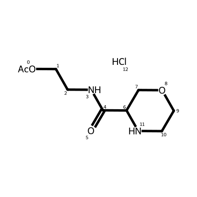 CC(=O)OCCNC(=O)C1COCCN1.Cl